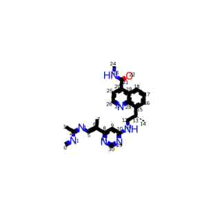 C=N/C(C)=N\C=C(/C)c1cc(NC[C@@H](C)c2cccc3c(C(=O)NC)ccnc23)ncn1